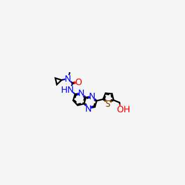 CN(C(=O)Nc1ccc2ncc(-c3ccc(CO)s3)nc2n1)C1CC1